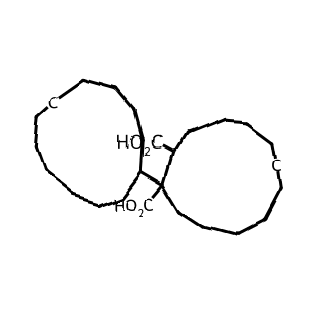 O=C(O)C1CCCCCCCCCCC1(C(=O)O)C1CCCCCCCCCCC1